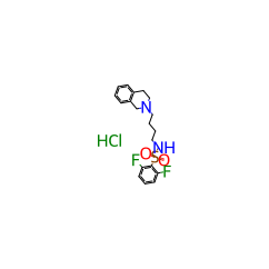 Cl.O=S(=O)(NCCCCN1CCc2ccccc2C1)c1c(F)cccc1F